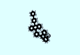 c1ccc(-c2ccc(-c3c4ccccc4c(-c4cccc(-c5cc6cccc7oc8cccc5c8c67)c4)c4ccccc34)cc2)cc1